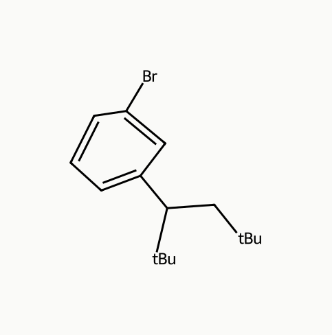 CC(C)(C)CC(c1cccc(Br)c1)C(C)(C)C